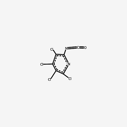 O=C=Nc1nc(Cl)c(Cl)c(Cl)c1Cl